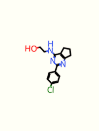 OCCNc1nc(-c2ccc(Cl)cc2)nc2c1CCC2